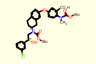 CN(C(=O)OC(C)(C)C)c1ccc(Oc2ccc3c(c2)C[C@@H](N(C[C@H](O)c2cccc(Cl)c2)C(=O)OC(C)(C)C)CC3)cc1C(=O)O